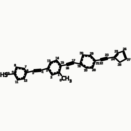 Cc1cc(C#Cc2ccc(S)cc2)ccc1C#Cc1ccc(C#CC2=CC=CC2)cc1